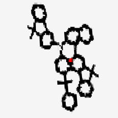 CC(C)(c1ccccc1)c1ccc(N(c2ccc3c(c2)-c2ccccc2C3(C)C)c2ccc3ccccc3c2-c2ccc3c(c2)C(C)(C)c2ccccc2-3)cc1